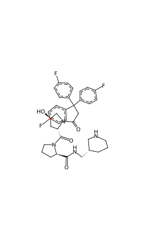 O=C(NC[C@H]1CCCNC1)[C@H]1CCCN1C(=O)[C@@H]1C[C@@H](O)CN1C(=O)CC(c1ccc(F)cc1)(c1ccc(F)cc1)c1ccc(F)cc1